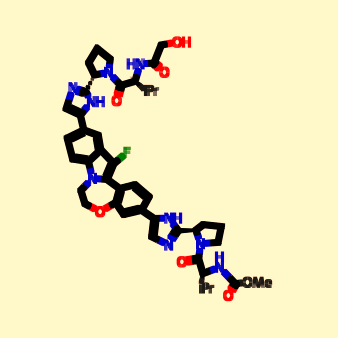 COC(=O)N[C@H](C(=O)N1CCC[C@@H]1c1ncc(-c2ccc3c(c2)OCCn2c-3c(F)c3cc(-c4cnc([C@@H]5CCCN5C(=O)[C@@H](NC(=O)CO)C(C)C)[nH]4)ccc32)[nH]1)C(C)C